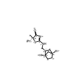 CC(C)[C@@]1(C)SC(NC[C@H]2C[C@@H]3CC[C@H]2C3)=NC1=O